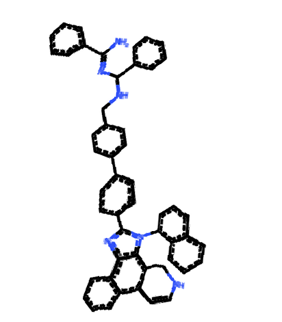 N/C(=N\C(NCc1ccc(-c2ccc(-c3nc4c5ccccc5c5c(c4n3-c3cccc4ccccc34)CNC=C5)cc2)cc1)c1ccccc1)c1ccccc1